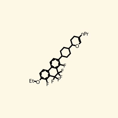 CCCC1=COC(C2CCC(c3ccc4c(c3F)C(F)(F)C(F)(F)c3c-4ccc(OCC)c3F)CC2)CC1